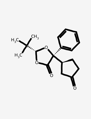 CC(C)(C)[C@H]1OC(=O)[C@](c2ccccc2)([C@H]2CCC(=O)C2)O1